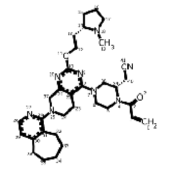 C=CC(=O)N1CCN(c2nc(OCC[C@@H]3CCCN3C)nc3c2CCN(c2nccc4c2CCCCC4)C3)C[C@@H]1CC#N